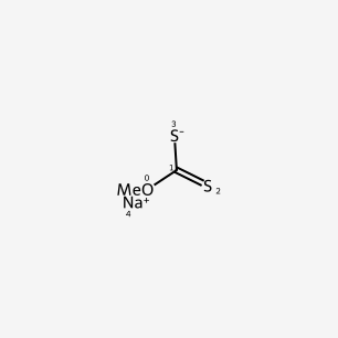 COC(=S)[S-].[Na+]